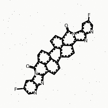 O=c1c2ccc3c4ccc5c(=O)n6c7cc(F)cnc7nc6c6ccc(c7ccc(c2c37)c2nc3ncc(F)cc3n12)c4c56